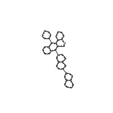 c1ccc(-c2c3ccccc3c(-c3ccc4cc(-c5ccc6ccccc6c5)ccc4c3)c3cnc4ccccc4c23)cc1